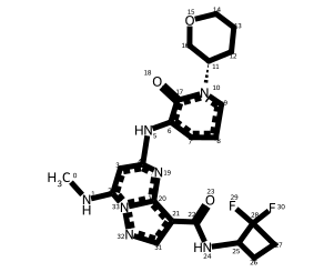 CNc1cc(Nc2cccn([C@H]3CCCOC3)c2=O)nc2c(C(=O)NC3CCC3(F)F)cnn12